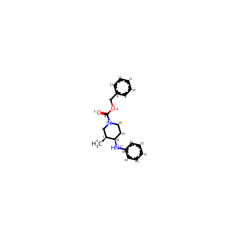 C[C@H]1CN(C(=O)OCc2ccccc2)CC[C@H]1Nc1ccccc1